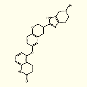 CC(C)N1CCc2nc(C3COc4ccc(Oc5ccnc6c5CCC(=O)N6)cc4C3)[nH]c2C1